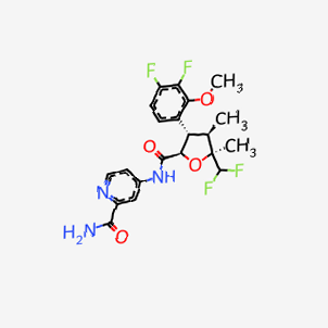 COc1c([C@@H]2[C@@H](C)[C@@](C)(C(F)F)O[C@H]2C(=O)Nc2ccnc(C(N)=O)c2)ccc(F)c1F